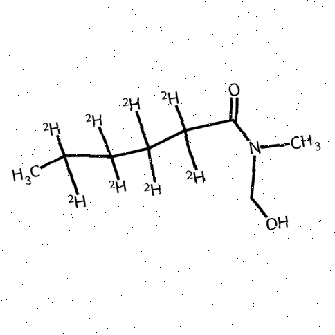 [2H]C([2H])(C)C([2H])([2H])C([2H])([2H])C([2H])([2H])C(=O)N(C)CO